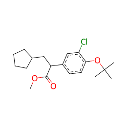 COC(=O)C(CC1CCCC1)c1ccc(OC(C)(C)C)c(Cl)c1